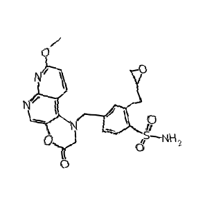 COc1ccc2c3c(cnc2n1)OC(=O)CN3Cc1ccc(S(N)(=O)=O)c(CC2CO2)c1